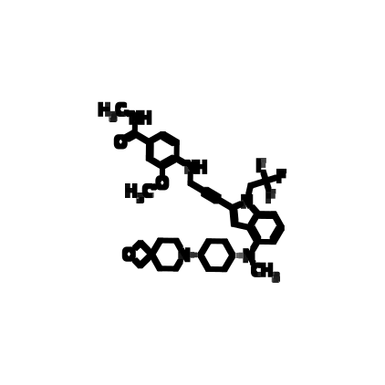 CNC(=O)c1ccc(NCC#Cc2cc3c(N(C)[C@H]4CC[C@@H](N5CCC6(CC5)COC6)CC4)cccc3n2CC(F)(F)F)c(OC)c1